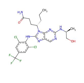 CCC[C@@H](CCC(N)=O)n1c(Nc2c(Cl)cc(C(F)(F)F)cc2Cl)nc2cnc(N[C@@H](C)CO)nc21